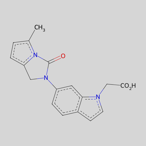 Cc1ccc2n1C(=O)N(c1ccc3ccn(CC(=O)O)c3c1)C2